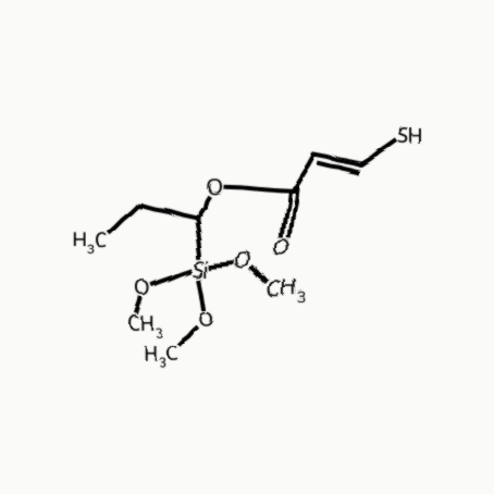 CCC(OC(=O)C=CS)[Si](OC)(OC)OC